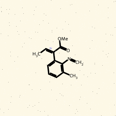 C=Nc1c(C)cccc1/C(=C\C)C(=O)OC